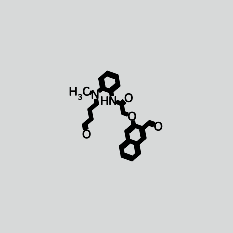 CN(CCCC=O)c1ccccc1NC(=O)COc1cc2ccccc2cc1C=O